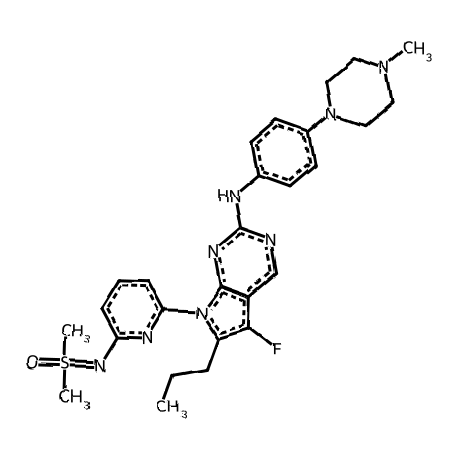 CCCc1c(F)c2cnc(Nc3ccc(N4CCN(C)CC4)cc3)nc2n1-c1cccc(N=S(C)(C)=O)n1